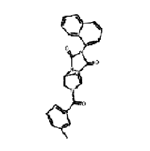 Cc1cccc(C(=O)N2CC3CC2=C2C(=O)N(c4cccc5ccccc45)C(=O)N23)c1